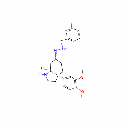 COc1ccc([C@@]23CC/C(=N\NCc4cccc(C)c4)C[C@@H]2N(C)CC3)cc1OC